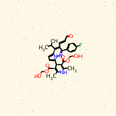 CC1=C(C(=O)OCO)C(c2ccc3c(C(C)C)c(/C=C/C=O)c(-c4ccc(F)cc4)nn23)C(C(=O)OCO)=C(C)N1